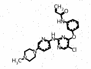 C=CC(=O)Nc1cccc(Oc2nc(Nc3ccc(N4CCN(C)CC4)cn3)ncc2Cl)c1